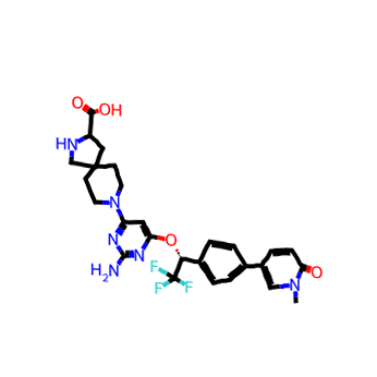 Cn1cc(-c2ccc([C@@H](Oc3cc(N4CCC5(CC4)CNC(C(=O)O)C5)nc(N)n3)C(F)(F)F)cc2)ccc1=O